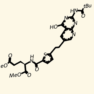 COC(=O)CC[C@@H](NC(=O)c1ccc(CCc2cnc3nc(NC(=O)C(C)(C)C)nc(O)c3c2)s1)C(=O)OC